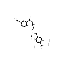 CCN(CCC1(C)CC(=O)c2cc(C#N)ccc2O1)C(=O)c1ccc(C(C)(C)O)c(C)c1